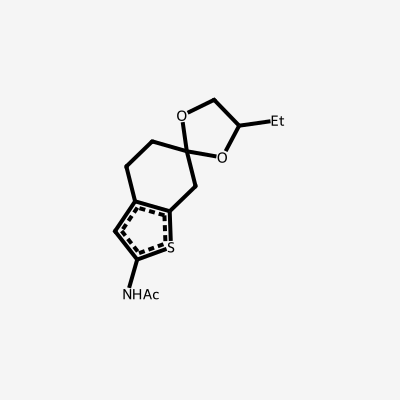 CCC1COC2(CCc3cc(NC(C)=O)sc3C2)O1